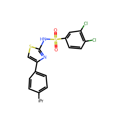 CC(C)c1ccc(-c2csc(NS(=O)(=O)c3ccc(Cl)c(Cl)c3)n2)cc1